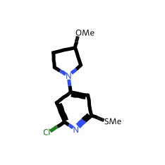 COC1CCN(c2cc(Cl)nc(SC)c2)C1